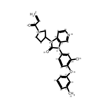 C=CC(=O)N1CCC(n2c(=O)n(-c3ccc(Oc4cccc(C)c4)c(Cl)c3)c3cnccc32)C1